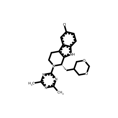 Cc1nc(C)nc(N2CCc3c([nH]c4ccc(Cl)cc34)[C@@H]2CC2COCOC2)n1